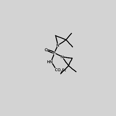 CCOC(=O)NP(=O)(N1CC1(C)C)N1CC1(C)C